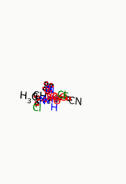 CC1(C)CCC(CN2CCN(c3ccc(C(=O)NS(=O)(=O)c4ccc(OCC5(F)CCC(C#N)CC5)c(Cl)c4)c(Oc4cccc5c4cnn5C(c4ccccc4)(c4ccccc4)c4ccccc4)c3)CC2)=C(c2ccc(Cl)cc2)C1